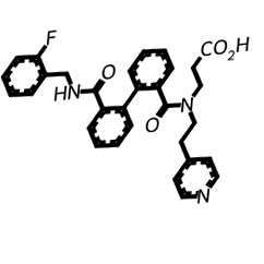 O=C(O)CCN(CCc1ccncc1)C(=O)c1ccccc1-c1ccccc1C(=O)NCc1ccccc1F